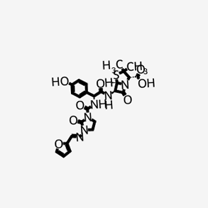 CC1(C)S[C@@H]2[C@H](NC(=O)[C@H](NC(=O)N3CCN(N=Cc4ccco4)C3=O)c3ccc(O)cc3)C(=O)N2[C@H]1C(=O)O